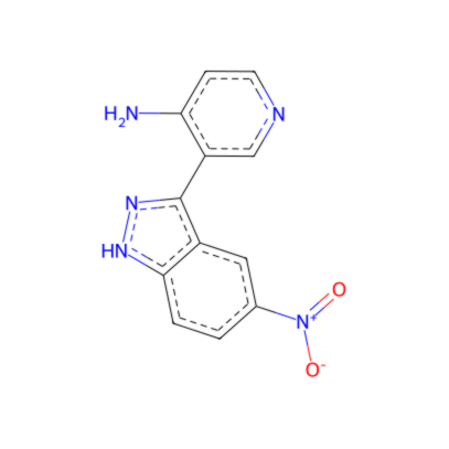 Nc1ccncc1-c1n[nH]c2ccc([N+](=O)[O-])cc12